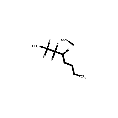 CNC.O=S(=O)(O)C(F)(F)C(F)(F)C(F)CCCC(F)(F)F